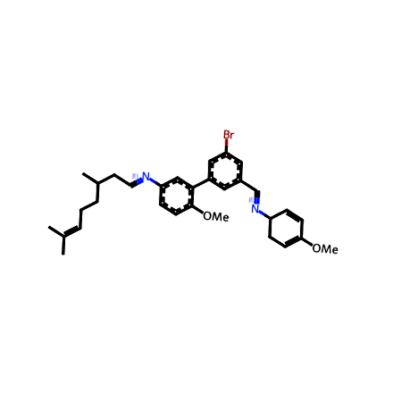 COC1=CCC(/N=C/c2cc(Br)cc(-c3cc(/N=C/CC(C)CCC=C(C)C)ccc3OC)c2)C=C1